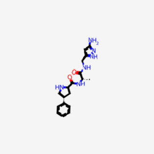 C[C@H](NC(=O)C1C[C@H](c2ccccc2)CN1)C(=O)NCc1cc(N)n[nH]1